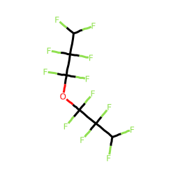 FC(F)C(F)(F)C(F)(F)OC(F)(F)C(F)(F)C(F)F